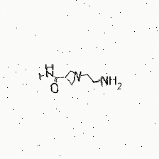 NCCN1CC(C(=O)NI)C1